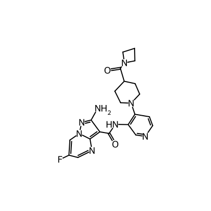 Nc1nn2cc(F)cnc2c1C(=O)Nc1cnccc1N1CCC(C(=O)N2CCC2)CC1